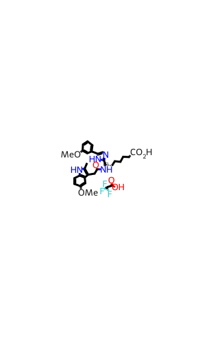 COc1cccc(-c2cnc([C@H](CCCCCC(=O)O)NC(=O)Cc3c(C)[nH]c4ccc(OC)cc34)[nH]2)c1.O=C(O)C(F)(F)F